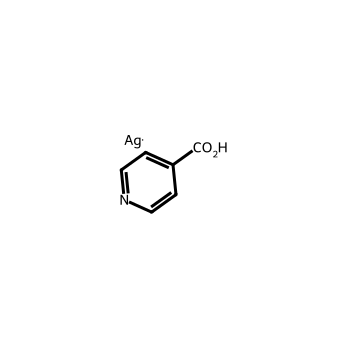 O=C(O)c1ccncc1.[Ag]